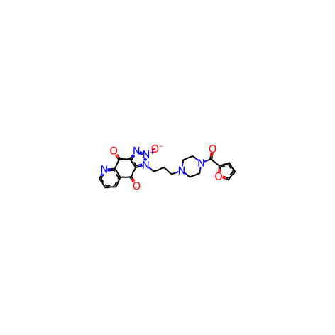 O=C1c2ncccc2C(=O)c2c1n[n+]([O-])n2CCCN1CCN(C(=O)c2ccco2)CC1